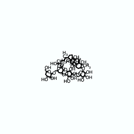 C[C@H](CC[C@@H](O[C@@H]1O[C@H](CO[C@@H]2O[C@H](CO)C[C@H](O)[C@H]2O)C[C@H](O)[C@H]1O[C@@H]1O[C@H](CO)[C@@H](O)[C@H](O)[C@H]1O)C(C)(C)O)C1CC[C@@]2(C)[C@@H]3CC=C4[C@@H](CC[C@H](O[C@@H]5O[C@H](CO)[C@@H](O)[C@H](O)[C@H]5O)C4(C)C)[C@]3(C)[C@H](O)C[C@]12C